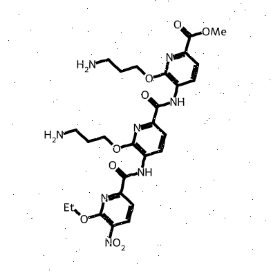 CCOc1nc(C(=O)Nc2ccc(C(=O)Nc3ccc(C(=O)OC)nc3OCCCN)nc2OCCCN)ccc1[N+](=O)[O-]